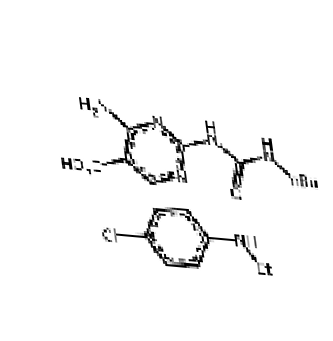 CCCCNC(=O)Nc1ncc(C(=O)O)c(N)n1.CCNc1ccc(Cl)cc1